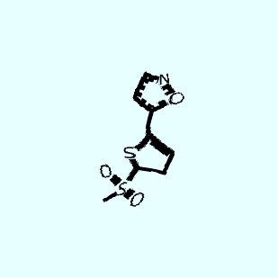 CS(=O)(=O)C1CC=C(c2ccno2)S1